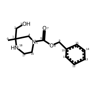 CC1(CO)CN(C(=O)OCc2ccccc2)CCN1